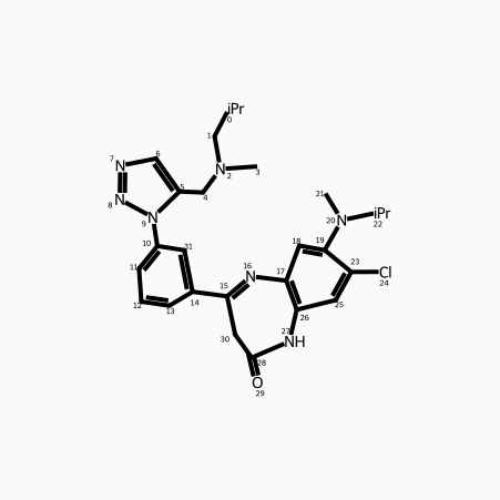 CC(C)CN(C)Cc1cnnn1-c1cccc(C2=Nc3cc(N(C)C(C)C)c(Cl)cc3NC(=O)C2)c1